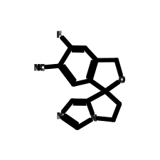 N#Cc1cc2c(cc1F)COC21CCn2cncc21